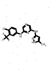 Cc1cc(Nc2cncc(Nc3ccc(Cl)c(C(F)(F)F)c3)n2)n[nH]1